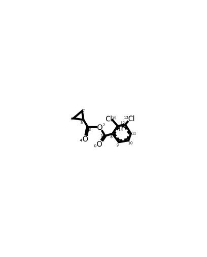 O=C(OC(=O)C1CC1)c1cccc(Cl)c1Cl